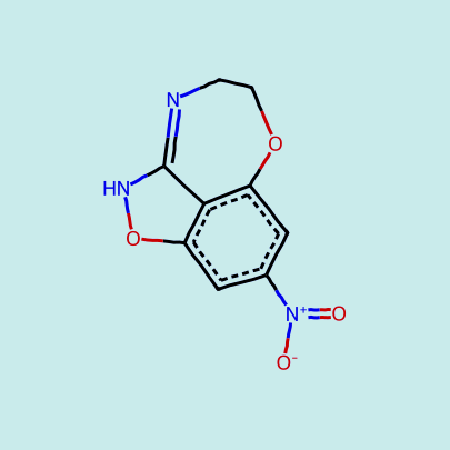 O=[N+]([O-])c1cc2c3c(c1)ONC3=NCCO2